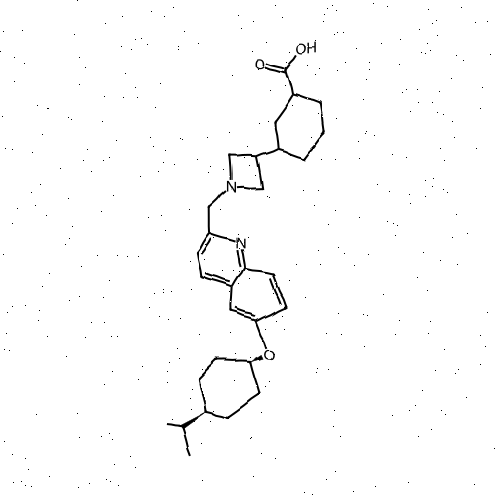 CC(C)[C@H]1CC[C@@H](Oc2ccc3nc(CN4CC(C5CCCC(C(=O)O)C5)C4)ccc3c2)CC1